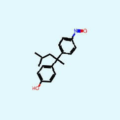 CC(C)CC(C)(c1ccc(O)cc1)c1ccc(N=O)cc1